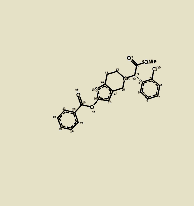 COC(=O)[C@H](c1ccccc1Cl)N1CCc2sc(OC(=O)c3ccccc3)cc2C1